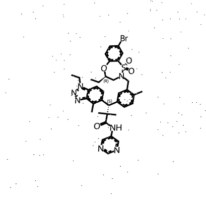 CC[C@@H]1CN(Cc2cc([C@@H](c3ccc4c(nnn4CC)c3C)C(C)(C)C(=O)Nc3cncnc3)ccc2C)S(=O)(=O)c2cc(Br)ccc2O1